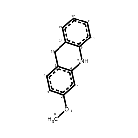 COc1ccc2c(c1)Nc1ccccc1C2